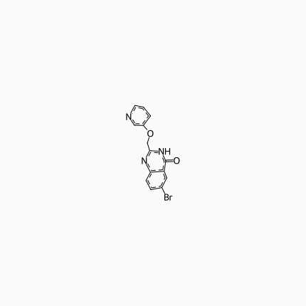 O=c1[nH]c(COc2cccnc2)nc2ccc(Br)cc12